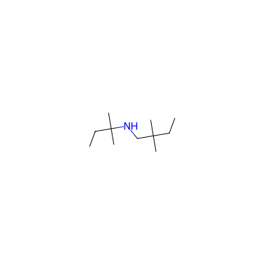 CCC(C)(C)CNC(C)(C)CC